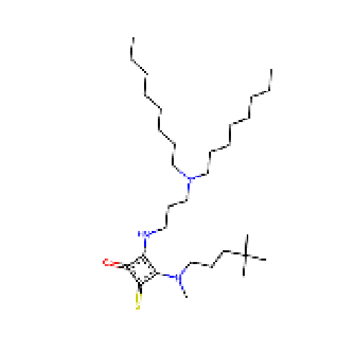 CCCCCCCCN(CCCCCCCC)CCCNc1c(N(C)CCCC(C)(C)C)c(=S)c1=O